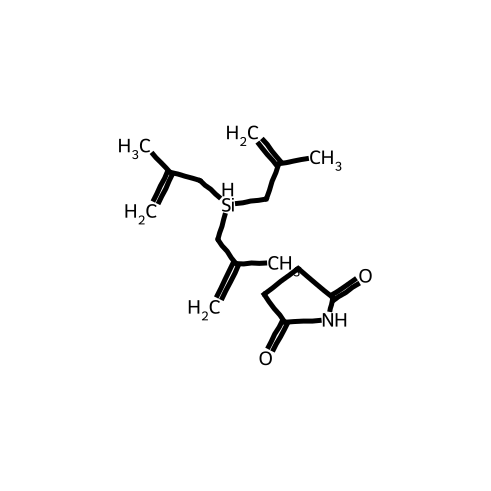 C=C(C)C[SiH](CC(=C)C)CC(=C)C.O=C1CCC(=O)N1